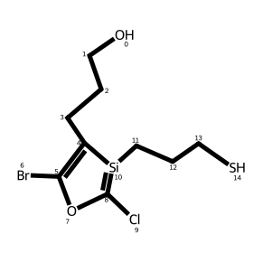 OCCCc1c(Br)oc(Cl)[si]1CCCS